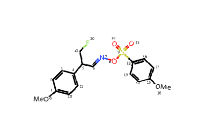 COc1ccc(C(C=NOS(=O)(=O)c2ccc(OC)cc2)CF)cc1